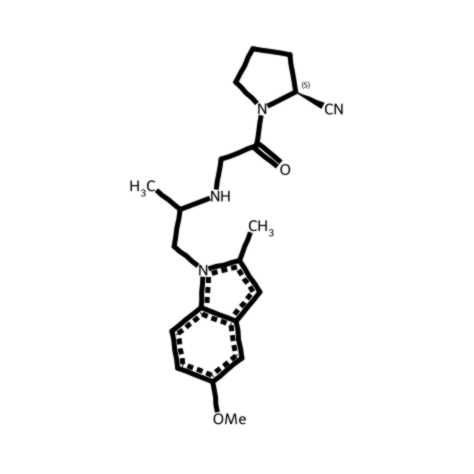 COc1ccc2c(c1)cc(C)n2CC(C)NCC(=O)N1CCC[C@H]1C#N